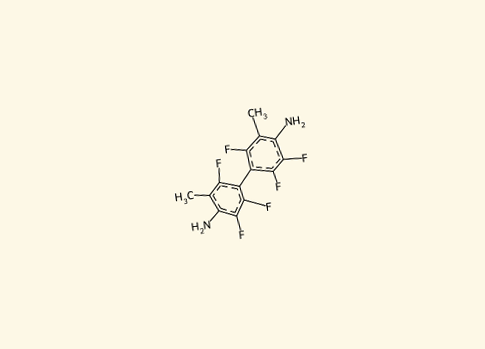 Cc1c(N)c(F)c(F)c(-c2c(F)c(C)c(N)c(F)c2F)c1F